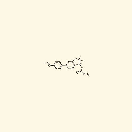 CCOc1ccc(-c2ccc3c(c2)CC(C)(C)[C@H]3OC(N)=O)cc1